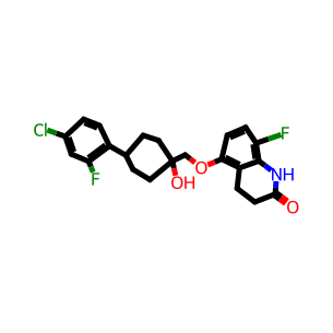 O=C1CCc2c(OCC3(O)CCC(c4ccc(Cl)cc4F)CC3)ccc(F)c2N1